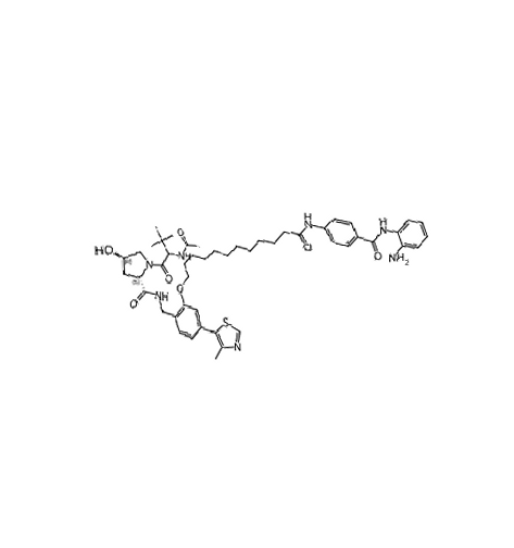 CC(=O)NC(C(=O)N1C[C@H](O)C[C@H]1C(=O)NCc1ccc(-c2scnc2C)cc1OCCCCCCCCCCCC(=O)Nc1ccc(C(=O)Nc2ccccc2N)cc1)C(C)(C)C